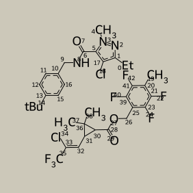 CCc1nn(C)c(C(=O)NCc2ccc(C(C)(C)C)cc2)c1Cl.Cc1c(F)c(F)c(COC(=O)C2C(/C=C(\Cl)C(F)(F)F)C2(C)C)c(F)c1F